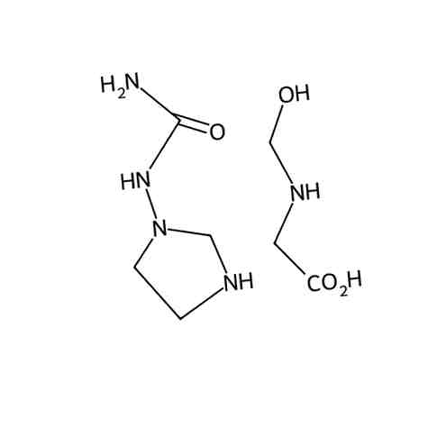 NC(=O)NN1CCNC1.O=C(O)CNCO